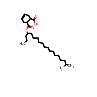 CCCC(CCCCCCCCCCCCCC(C)C)OC(=O)C1CC=CCC1C(=O)O